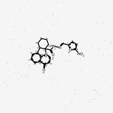 O=C(NN=Cc1ccc([N+](=O)[O-])o1)C12CCCCC1c1cccc3c(=O)ccn2c13